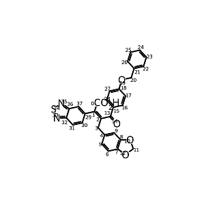 O=C(O)C(=C(Cc1ccc2c(c1)OCO2)C(=O)c1ccc(OCc2ccccc2)cc1)c1ccc2nsnc2c1